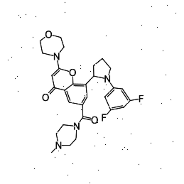 CN1CCN(C(=O)c2cc(C3CCCN3c3cc(F)cc(F)c3)c3oc(N4CCOCC4)cc(=O)c3c2)CC1